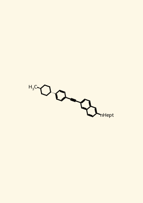 CCCCCCCc1ccc2cc(C#Cc3ccc([C@H]4CC[C@H](C)CC4)cc3)ccc2c1